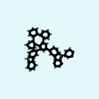 c1ccc(-n2c3ccccc3c3cc(-c4cc(-c5ccc6sc7ccccc7c6c5)c5c(c4)-c4ccccc4-c4ccccc4-c4ccccc4-5)ccc32)cc1